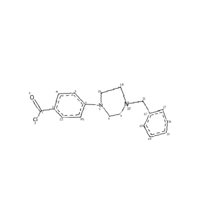 O=C(Cl)c1ccc(N2CCN(Cc3ccccc3)CC2)cc1